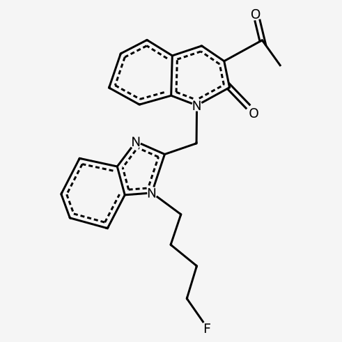 CC(=O)c1cc2ccccc2n(Cc2nc3ccccc3n2CCCCF)c1=O